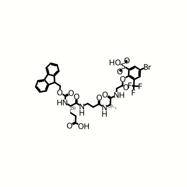 C[C@H](NC(=O)CCNC(=O)[C@H](CCC(=O)O)NC(=O)OCC1c2ccccc2-c2ccccc21)C(=O)NCC(=O)Oc1c(C(F)(F)F)cc(Br)cc1S(=O)(=O)O